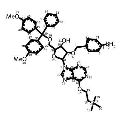 Bc1ccc(CO[C@H]2C(n3cnc4c(OCC[Si](C)(C)C)ncnc43)OC(COC(c3ccccc3)(c3ccc(OC)cc3)c3ccc(OC)cc3)[C@H]2O)cc1